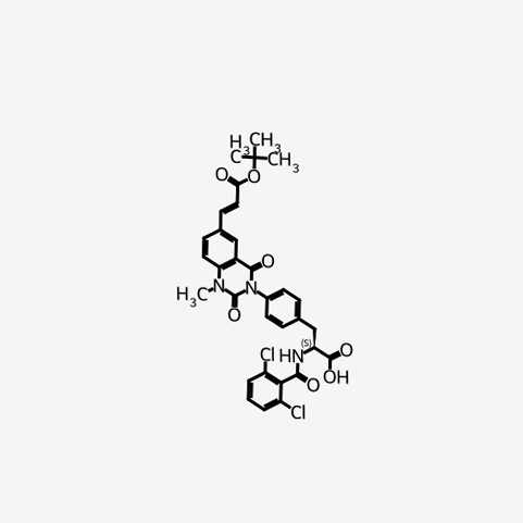 Cn1c(=O)n(-c2ccc(C[C@H](NC(=O)c3c(Cl)cccc3Cl)C(=O)O)cc2)c(=O)c2cc(C=CC(=O)OC(C)(C)C)ccc21